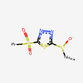 CCCCCC[S+]([O-])c1nnc(S(=O)(=O)C(C)C)s1